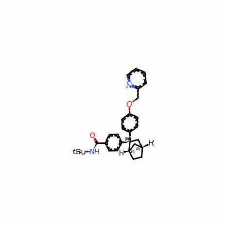 CC(C)(C)NC(=O)c1ccc([C@@]2(c3ccc(OCc4ccccn4)cc3)C[C@@H]3CC[C@H]2C3)cc1